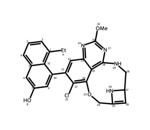 CCc1cccc2cc(O)cc(-c3cc4nc(OC)nc5c4c(c3Cl)OCC3=CC(CN5)N3)c12